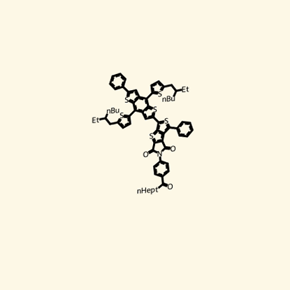 CCCCCCCC(=O)c1ccc(N2C(=O)c3sc4c(-c5cc6c(-c7ccc(CC(CC)CCCC)s7)c7sc(-c8ccccc8)cc7c(-c7ccc(CC(CC)CCCC)s7)c6s5)sc(-c5ccccc5)c4c3C2=O)cc1